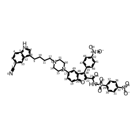 N#Cc1ccc2[nH]cc(CCCCN3CCN(c4ccc5oc(C(=O)NS(=O)(=O)c6ccc([N+](=O)[O-])cc6)c(-c6ccc([N+](=O)[O-])cc6)c5c4)CC3)c2c1